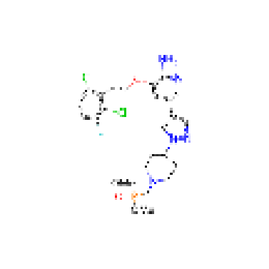 COP(=O)(CN1CCC(n2cc(-c3cnc(N)c(OCCc4c(Cl)ccc(F)c4Cl)c3)cn2)CC1)OC